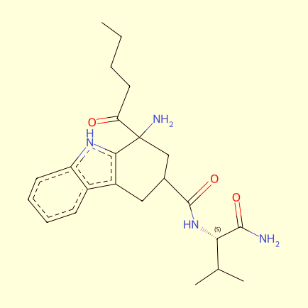 CCCCC(=O)C1(N)CC(C(=O)N[C@H](C(N)=O)C(C)C)Cc2c1[nH]c1ccccc21